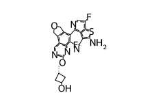 N#Cc1c(N)sc2c(F)cnc(-c3c4c(c5cnc(OC[C@H]6C[C@H](O)C6)nc5c3F)COC4)c12